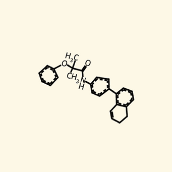 CC(C)(Oc1ccccc1)C(=O)Nc1ccc(-c2cccc3c2C=CCC3)cc1